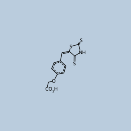 O=C(O)COc1ccc(/C=C2/SC(=S)NC2=S)cc1